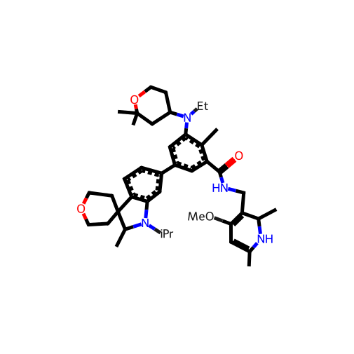 CCN(c1cc(-c2ccc3c(c2)N(C(C)C)C(C)C32CCOCC2)cc(C(=O)NCC2=C(OC)C=C(C)NC2C)c1C)C1CCOC(C)(C)C1